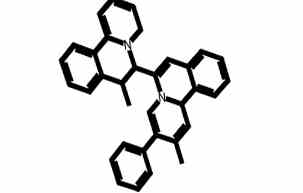 CC1=CC2c3ccccc3C=C(C3C(C)c4ccccc4C4=CC=CCN43)N2C=C1c1ccccc1